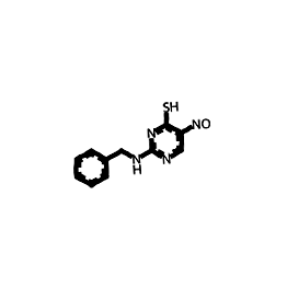 O=Nc1cnc(NCc2ccccc2)nc1S